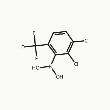 OB(O)c1c(C(F)(F)F)ccc(Cl)c1Cl